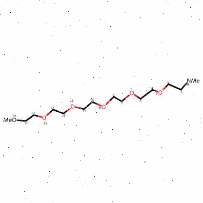 CNCCOCCOCCOCCOCCOCCOC